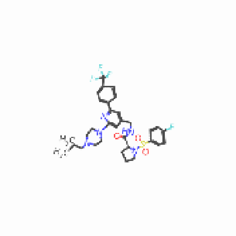 CC(C)CN1CCN(c2cc(CNC(=O)[C@@H]3CCCN3S(=O)(=O)c3ccc(F)cc3)cc(-c3ccc(C(F)(F)F)cc3)n2)CC1